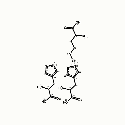 CSCCC(N)C(=O)O.NC(Cc1c[nH]cn1)C(=O)O.NC(Cc1c[nH]cn1)C(=O)O